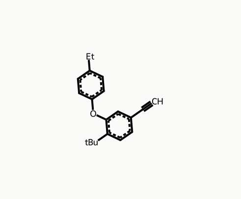 C#Cc1ccc(C(C)(C)C)c(Oc2ccc(CC)cc2)c1